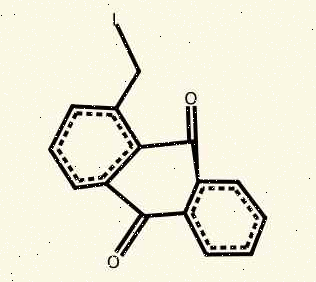 O=C1c2ccccc2C(=O)c2c(CI)cccc21